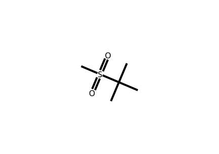 CC(C)(C)S(C)(=O)=O